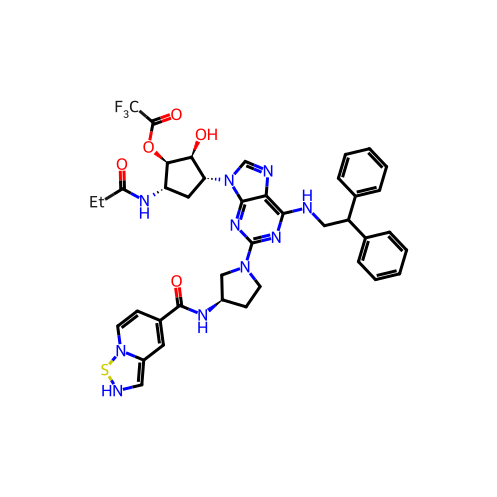 CCC(=O)N[C@H]1C[C@@H](n2cnc3c(NCC(c4ccccc4)c4ccccc4)nc(N4CC[C@@H](NC(=O)C5=CC6=CNSN6C=C5)C4)nc32)[C@H](O)[C@@H]1OC(=O)C(F)(F)F